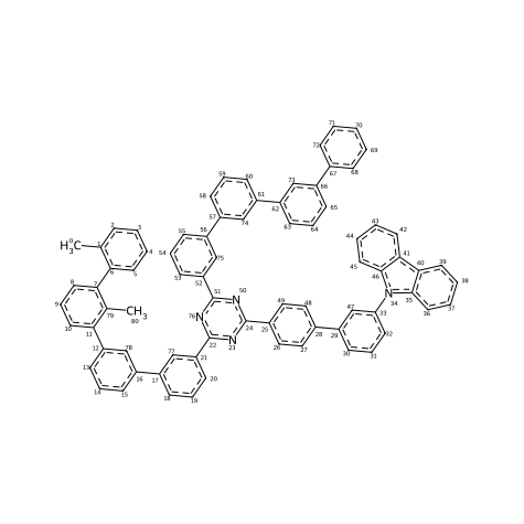 Cc1ccccc1-c1cccc(-c2cccc(-c3cccc(-c4nc(-c5ccc(-c6cccc(-n7c8ccccc8c8ccccc87)c6)cc5)nc(-c5cccc(-c6cccc(-c7cccc(-c8ccccc8)c7)c6)c5)n4)c3)c2)c1C